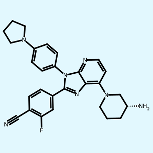 N#Cc1ccc(-c2nc3c(N4CCC[C@@H](N)C4)ccnc3n2-c2ccc(N3CCCC3)cc2)cc1F